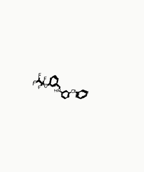 FC(F)C(F)(F)Oc1cccc(CNc2cccc(Oc3ccccc3)c2)c1